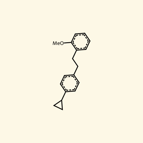 COc1ccccc1CCc1ccc(C2CC2)cc1